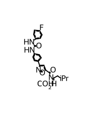 CC(C)CC(NC(=O)c1cc(-c2ccc(NC(=O)Nc3ccc(F)cc3)cc2)no1)C(=O)O